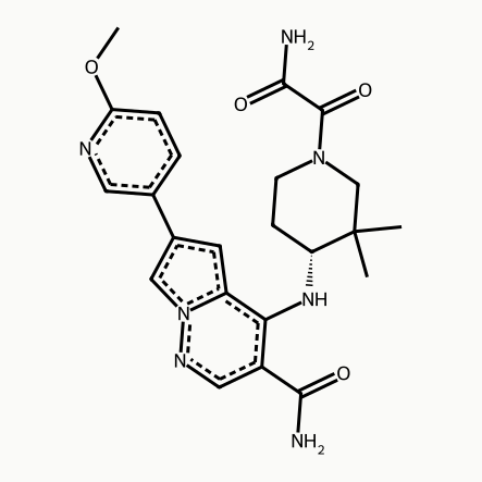 COc1ccc(-c2cc3c(N[C@@H]4CCN(C(=O)C(N)=O)CC4(C)C)c(C(N)=O)cnn3c2)cn1